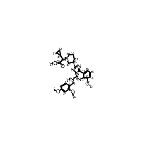 COc1ccc(CNc2nc3c(OC)cccc3c3nc([C@@H]4CCCN(C(C(=O)O)C5CC5)C4)nn23)c(OC)c1